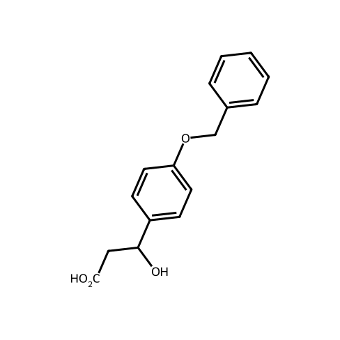 O=C(O)CC(O)c1ccc(OCc2ccccc2)cc1